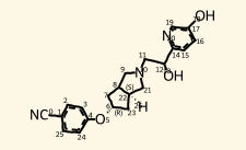 N#Cc1ccc(O[C@@H]2CC3CN(CC(O)c4ccc(O)cn4)C[C@H]3C2)cc1